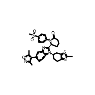 Cc1nc2c(s1)C[C@H](n1c([C@@H]3CCCC(=O)N3c3ccc(S(C)(=O)=O)cc3)nc3cc(-c4c(C)noc4C)ccc31)CC2